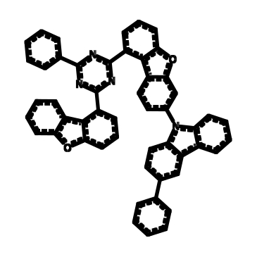 c1ccc(-c2ccc3c(c2)c2ccccc2n3-c2ccc3c(c2)oc2cccc(-c4nc(-c5ccccc5)nc(-c5cccc6oc7ccccc7c56)n4)c23)cc1